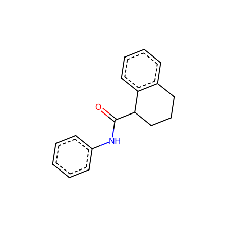 O=C(Nc1ccccc1)C1CCCc2ccccc21